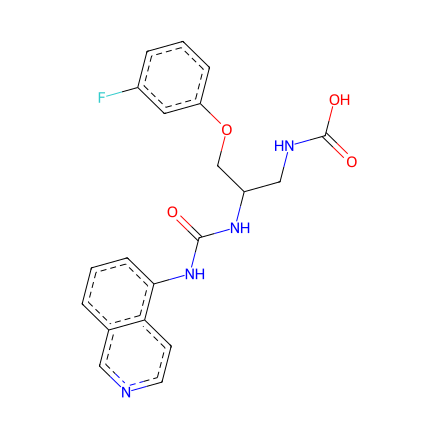 O=C(O)NCC(COc1cccc(F)c1)NC(=O)Nc1cccc2cnccc12